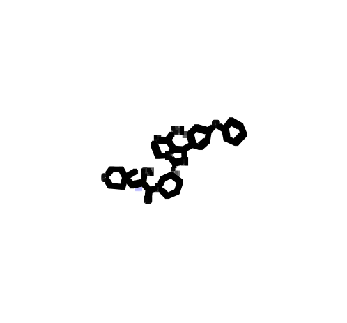 CC1(/C=C(\C#N)C(=O)N2CCC[C@@H](c3nc(-c4ccc(Oc5ccccc5)cc4)c4c(N)nccn34)C2)CCOCC1